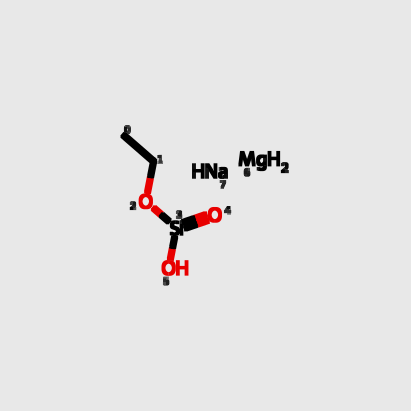 CCO[Si](=O)O.[MgH2].[NaH]